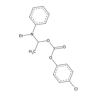 CCN(c1ccccc1)C(C)OC(=O)Oc1ccc(Cl)cc1